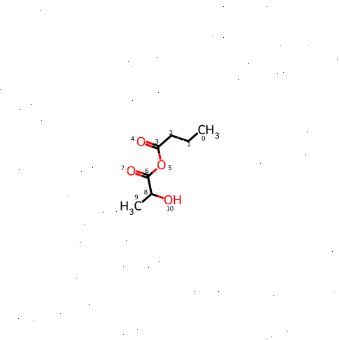 CCCC(=O)OC(=O)C(C)O